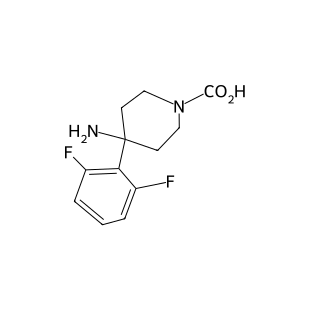 NC1(c2c(F)cccc2F)CCN(C(=O)O)CC1